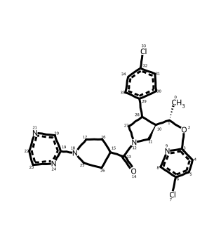 C[C@H](Oc1ccc(Cl)cn1)[C@H]1CN(C(=O)C2CCN(c3cnccn3)CC2)CC1c1ccc(Cl)cc1